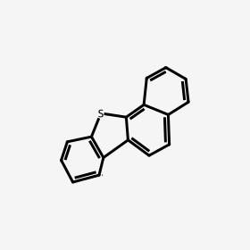 [c]1cccc2sc3c4ccccc4ccc3c12